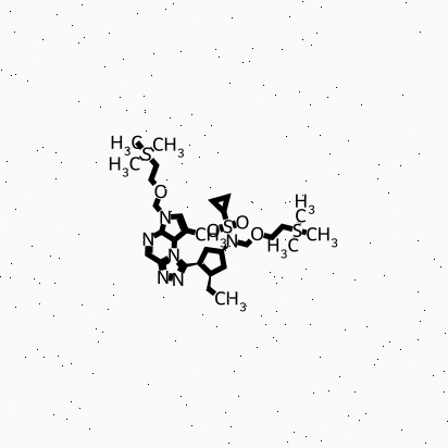 CC[C@@H]1C[C@H](N(COCCS(C)(C)C)S(=O)(=O)C2CC2)C[C@@H]1c1nnc2n1C1C(C)=CN(COCCS(C)(C)C)C1N=C2